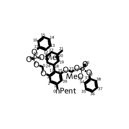 CCCCCc1cc(OCOP(=O)(OC)Oc2ccccc2)c(C2C=C(C)CCC2)c(OCOP(=O)(OC)Oc2ccccc2)c1